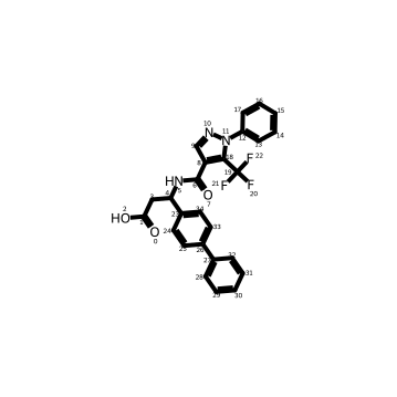 O=C(O)CC(NC(=O)c1cnn(-c2ccccc2)c1C(F)(F)F)c1ccc(-c2ccccc2)cc1